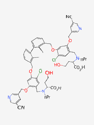 CCCN(Cc1cc(Cl)c(OCc2cccc(-c3cccc(COc4cc(OCc5cncc(C#N)c5)c(CN(CCC)C(CCO)C(=O)O)cc4Cl)c3C)c2C)cc1OCc1cncc(C#N)c1)C(CCO)C(=O)O